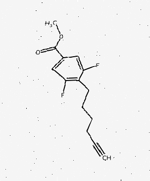 C#CCCCCc1c(F)cc(C(=O)OC)cc1F